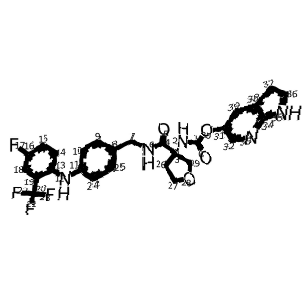 O=C(N[C@@]1(C(=O)NCc2ccc(Nc3ccc(F)cc3C(F)(F)F)cc2)CCOC1)Oc1cnc2[nH]ccc2c1